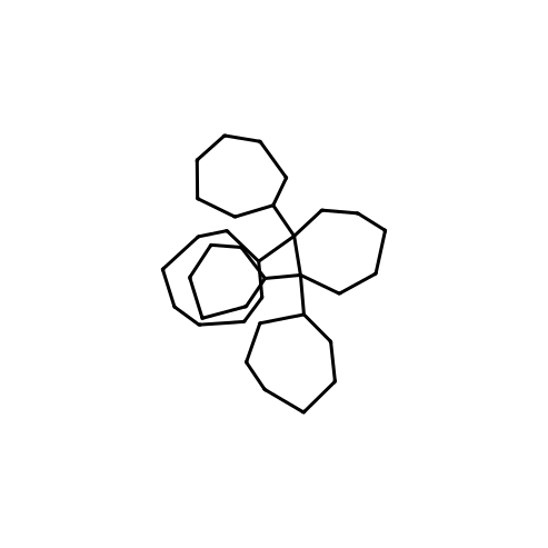 C1CCCC(C2(C3CCCCCC3)CCCCCC2(C2CCCCCC2)C2CCCCC2)CCC1